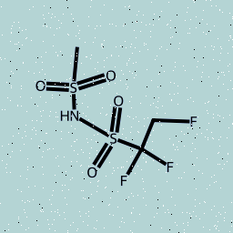 CS(=O)(=O)NS(=O)(=O)C(F)(F)CF